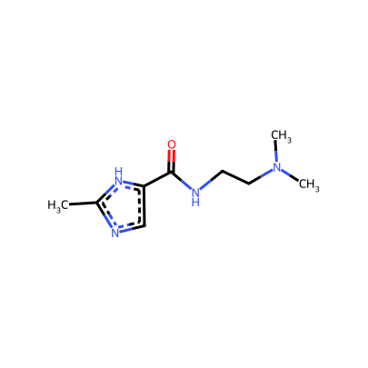 Cc1ncc(C(=O)NCCN(C)C)[nH]1